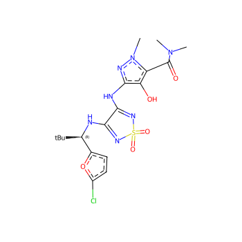 CN(C)C(=O)c1c(O)c(NC2=NS(=O)(=O)N=C2N[C@@H](c2ccc(Cl)o2)C(C)(C)C)nn1C